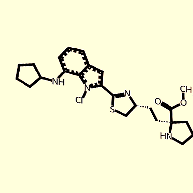 COC(=O)[C@@]1(CC[C@@H]2CSC(c3cc4cccc(NC5CCCC5)c4n3Cl)=N2)CCCN1